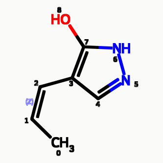 C/C=C\c1cn[nH]c1O